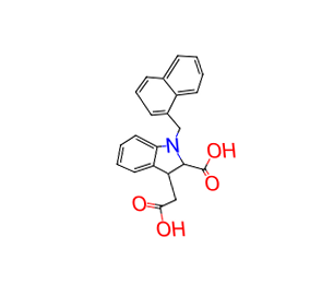 O=C(O)CC1c2ccccc2N(Cc2cccc3ccccc23)C1C(=O)O